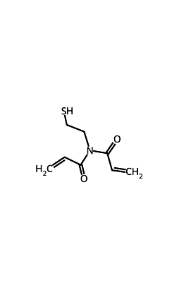 C=CC(=O)N(CCS)C(=O)C=C